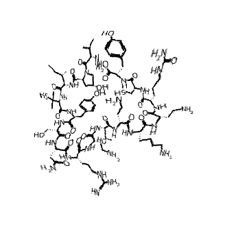 CC[C@H](C)[C@H](NC(=O)[C@@H]1C[C@@H](O)CN1C(=O)[C@@H](N)C(C)C)C(=O)N[C@H](C(=O)N[C@@H](Cc1ccc(O)cc1)C(=O)N[C@@H](CO)C(=O)N[C@@H](CC(N)=O)C(=O)N[C@@H](CCCNC(=N)N)C(=O)N[C@@H](CCN)C(=O)N[C@H](C(=O)N[C@H](CCN)C(=O)N[C@@H](CCCCN)C(=O)N[C@@H](CCN)C(=O)N[C@@H](CCCNC(N)=O)C(=O)N[C@@H](CS)C(=O)N[C@@H](Cc1ccc(O)cc1)C(=O)O)[C@@H](C)O)C(C)(C)S